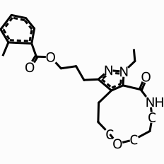 CCn1nc(CCCOC(=O)c2ccccc2C)c2c1C(=O)NCCCOCCC2